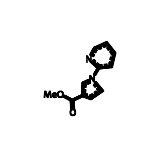 COC(=O)c1ccn(-c2ccccn2)c1